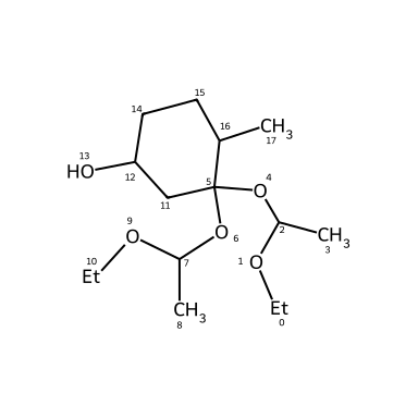 CCOC(C)OC1(OC(C)OCC)CC(O)CCC1C